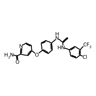 C=C(Nc1ccc(Oc2ccnc(C(N)=O)c2)cc1)Nc1ccc(Cl)c(C(F)(F)F)c1